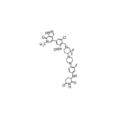 COc1cc(-c2cn(C)c(=O)c3[nH]ncc23)cc(Cl)c1CN1CCC(N2CCN(c3ccc(NC4CCC(=O)NC4=O)cc3F)CC2)C(F)(F)C1